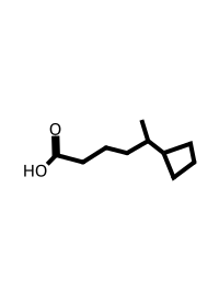 CC(CCCC(=O)O)C1CCC1